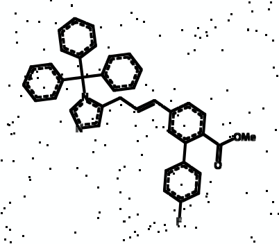 COC(=O)c1ccc(C=CCc2cncn2C(c2ccccc2)(c2ccccc2)c2ccccc2)cc1-c1ccc(F)cc1